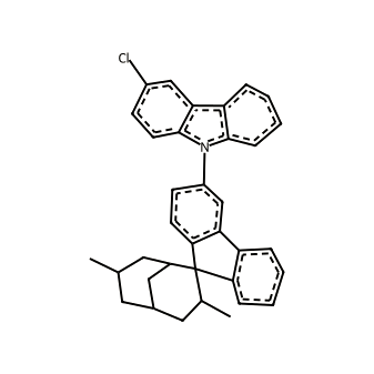 CC1CC2CC(C)C3(c4ccccc4-c4cc(-n5c6ccccc6c6cc(Cl)ccc65)ccc43)C(C1)C2